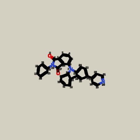 O=C1c2cccc(-n3c4ccccc4c4cc(-c5ccncc5)ccc43)c2C(=O)N1c1ccccc1